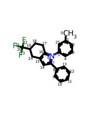 Cc1cccc(-n2c(-c3ccccc3)cc3c2CCC(C(F)(F)F)C3)c1